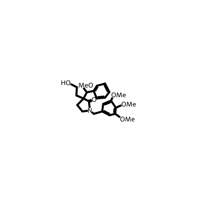 COc1cc(CN2CCC(CCO)(C(OC)c3ccccc3)C2=O)cc(OC)c1OC